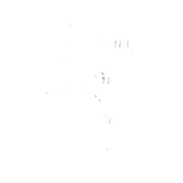 N#Cc1c(N)sc2c(F)ccc(-c3c4c(c5ccc(O[C@H]6CCOC6)nc5c3Cl)COC4)c12